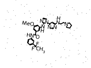 COc1cc(Nc2nccn2-c2cc(NCCN3CCCC3)ncn2)cc(C(=O)Nc2cccc(C(C)(F)F)c2)c1